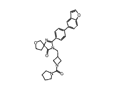 O=C(N1CCCC1)N1CC(CN2C(=O)C3(CCOC3)N=C2c2ccc(-c3ccc4occc4c3)cc2)C1